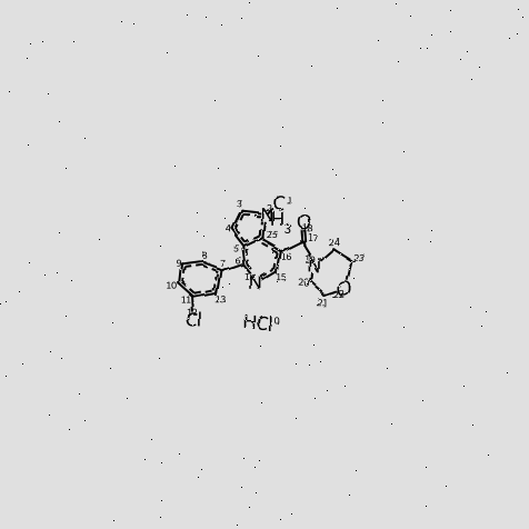 Cl.Cn1ccc2c(-c3cccc(Cl)c3)ncc(C(=O)N3CCOCC3)c21